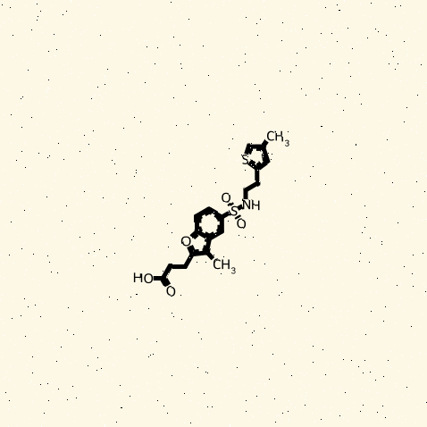 Cc1csc(CCNS(=O)(=O)c2ccc3oc(CCC(=O)O)c(C)c3c2)c1